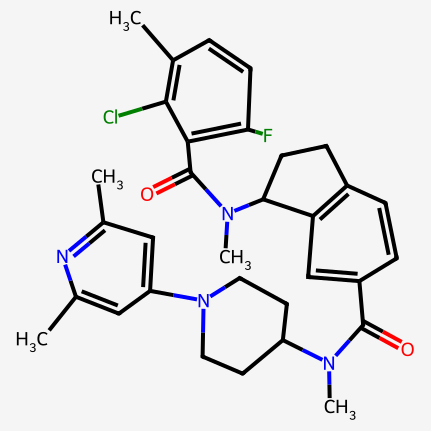 Cc1cc(N2CCC(N(C)C(=O)c3ccc4c(c3)C(N(C)C(=O)c3c(F)ccc(C)c3Cl)CC4)CC2)cc(C)n1